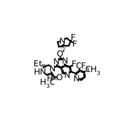 CC[C@@H]1CN2c3nc(OC[C@]45CCN4CC(F)(F)C5)nc4c(F)c(-c5nccc(C)c5C(F)(F)F)nc(c34)O[C@@H](C)[C@@H]2CN1